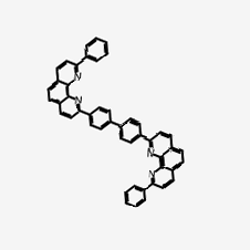 c1ccc(-c2ccc3ccc4ccc(-c5ccc(-c6ccc(-c7ccc8ccc9ccc(-c%10ccccc%10)nc9c8n7)cc6)cc5)nc4c3n2)cc1